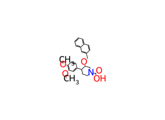 COc1ccc(C2CCN(C(=O)O)CC2OCc2ccc3ccccc3c2)cc1OC